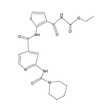 CCOC(=O)NC(=O)c1ccsc1NC(=O)c1ccnc(NC(=O)N2CCCCC2)c1